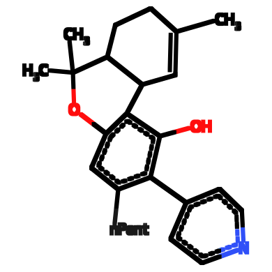 CCCCCc1cc2c(c(O)c1-c1ccncc1)C1C=C(C)CCC1C(C)(C)O2